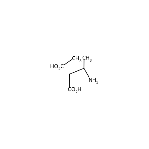 CC(=O)O.CC(N)CC(=O)O